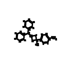 FC(F)(F)c1ccc(C2(Cl)CN(C(c3ccccc3)c3ccccc3)C2)cc1